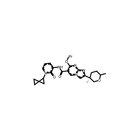 CC(C)Oc1nc2nc([C@@]3(C)CCC(C)OC3)cn2cc1C(=O)Nc1cccn(C2CC23CC3)c1=O